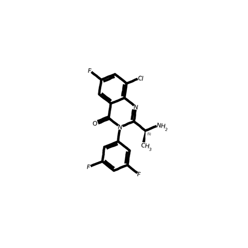 C[C@H](N)c1nc2c(Cl)cc(F)cc2c(=O)n1-c1cc(F)cc(F)c1